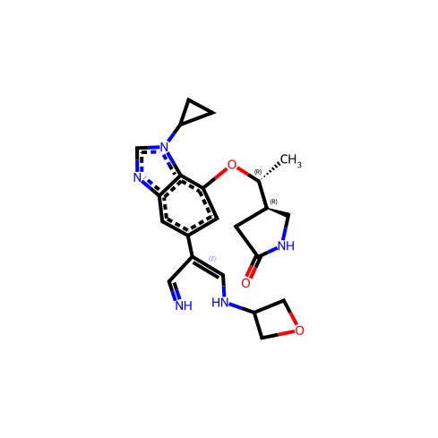 C[C@@H](Oc1cc(/C(C=N)=C/NC2COC2)cc2ncn(C3CC3)c12)[C@H]1CNC(=O)C1